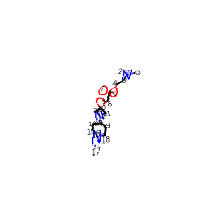 CN(C)CCOC(=O)COC1CN(C2CCN(C)CC2)C1